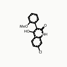 COc1ccccc1-c1c(O)c2ccc(Cl)cc2[nH]c1=O